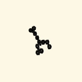 c1ccc(-c2cccc(-c3ccc(-c4cc(-c5ccc(-c6ccc(-n7c8ccccc8c8ccccc87)cc6)cc5)cc(-c5cccc(-n6c7ccccc7c7ccccc76)c5)n4)cc3)c2)cc1